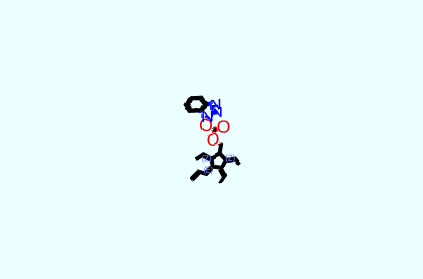 C=C/C=C1/C(=CC)/C(=C\C)C(COC(=O)On2nnc3ccccc32)/C1=C/C